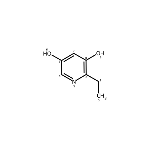 CCc1ncc(O)cc1O